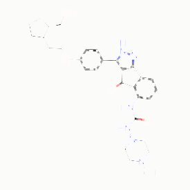 CN1CCN(NC(=O)Nc2cccc3c2C(=O)c2c-3n[nH]c2-c2ccc(OCCC3CCC[C@H]3CO)cc2)CC1